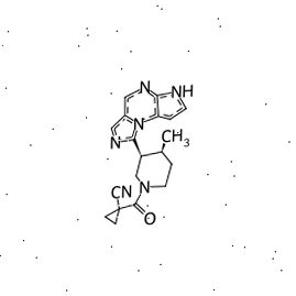 C[C@H]1CCN(C(=O)C2(C#N)CC2)C[C@H]1c1ncc2cnc3[nH]ccc3n12